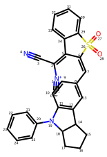 [C-]#[N+]/C(C#N)=C1\C(=C/c2ccc3c(c2)C2CCCC2N3c2ccccc2)S(=O)(=O)c2ccccc21